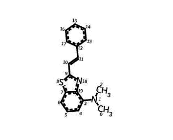 CN(C)c1cccc2sc(C=Cc3ccccc3)nc12